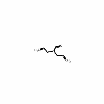 C=CCN([C]=S)CC=C